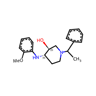 COc1ccccc1N[C@H]1CCN(C(C)c2ccccc2)C[C@@H]1O